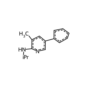 Cc1cc(-c2ccccc2)cnc1NC(C)C